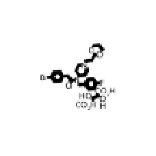 O=C(Cc1ccc(Br)cc1)N(Cc1ccc(F)cc1)C1CCN(CCC2OCCCO2)CC1.O=C(O)C(O)C(O)C(=O)O